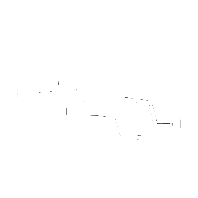 CC(C)(C)[Si](C)(C)OCc1ccc(Cl)cc1